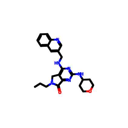 CCCN1Cc2c(NCc3cnc4ccccc4c3)nc(NC3CCOCC3)nc2C1=O